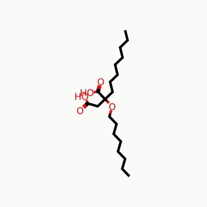 CCCCCCCCOC(CCCCCCCC)(CC(=O)O)C(=O)O